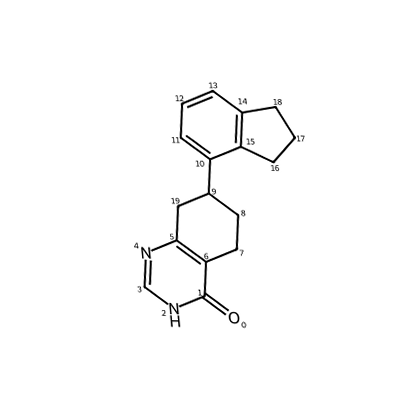 O=c1[nH]cnc2c1CCC(c1cccc3c1CCC3)C2